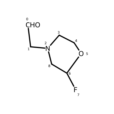 O=CCN1CCOC(F)C1